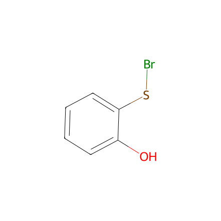 Oc1ccccc1SBr